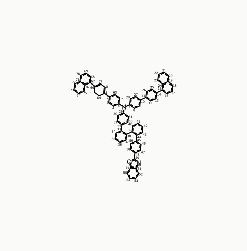 C1=C(c2ccc(N(c3ccc(-c4ccc(-c5cccc6ccccc56)cc4)cc3)c3ccc(-c4ccccc4-c4ccccc4-c4ccc(-c5nc6ccccc6o5)cc4)cc3)cc2)CCC(c2cccc3ccccc23)=C1